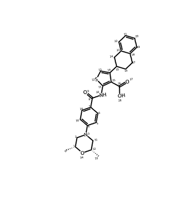 C[C@@H]1CN(c2ccc(C(=O)Nc3scc(C4CCc5ccccc5C4)c3C(=O)O)cc2)C[C@H](C)O1